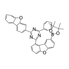 CC1(C)OB(c2ccc3oc4cccc(-c5nc(-c6ccccc6)nc(-c6ccc7c(c6)oc6ccccc67)n5)c4c3c2)OC1(C)C